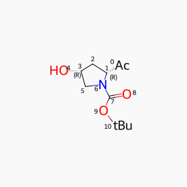 CC(=O)[C@H]1C[C@@H](O)CN1C(=O)OC(C)(C)C